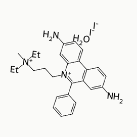 CC[N+](C)(CC)CCC[n+]1c(-c2ccccc2)c2cc(N)ccc2c2ccc(N)cc21.O.[I-].[I-]